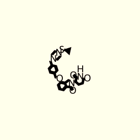 O=C1CCC(N2Cc3c(OCc4ccc(CN5CCN(SC6CC6)CC5)cc4)cccc3C2=O)C(=O)N1